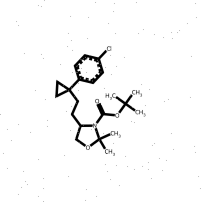 CC(C)(C)OC(=O)N1C(CCC2(c3ccc(Cl)cc3)CC2)COC1(C)C